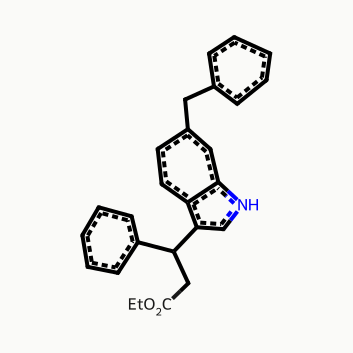 CCOC(=O)CC(c1ccccc1)c1c[nH]c2cc(Cc3ccccc3)ccc12